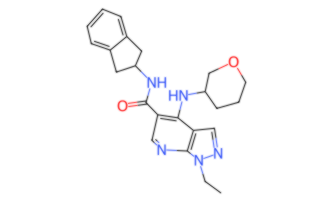 CCn1ncc2c(NC3CCCOC3)c(C(=O)NC3Cc4ccccc4C3)cnc21